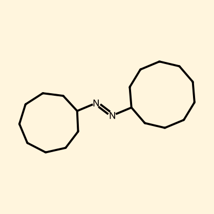 C1CCCCC(N=NC2CCCCCCCC2)CCCC1